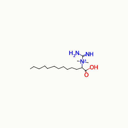 CCCCCCCCCCCC(C(=O)O)[N+](C)(C)C(=N)N